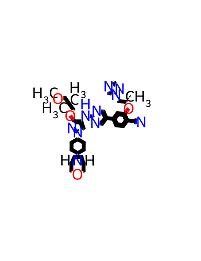 COCC(C)(C)COc1nn(C2CCC(N3[C@@H]4CC[C@H]3COC4)CC2)cc1Nc1ncc(-c2ccc(C#N)c(O[C@@H](C)Cn3cncn3)c2)cn1